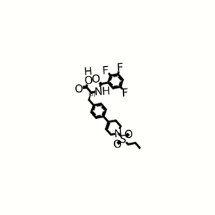 CCCS(=O)(=O)N1CC=C(c2ccc(C[C@H](NC(=O)c3cc(F)cc(F)c3F)C(=O)O)cc2)CC1